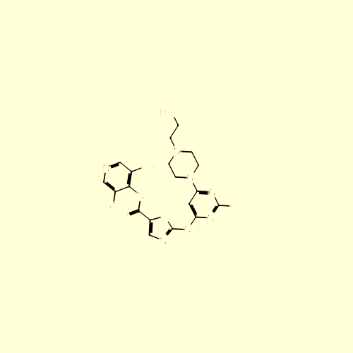 Cc1nc(Nc2ncc(C(=O)Nc3c(C)cncc3Cl)s2)cc(N2CCN(CCO)CC2)n1